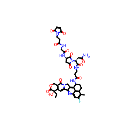 CC[C@@]1(O)C(=O)OCc2c1cc1n(c2=O)Cc2c-1nc1cc(F)c(C)c3c1c2[C@@H](NC(=O)CCNC(=O)[C@H](CC(N)=O)N1C(=O)C[C@H](NC(=O)CNC(=O)CCN2C(=O)C=CC2=O)C1=O)CC3